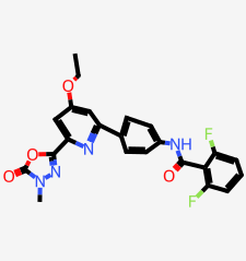 CCOc1cc(-c2ccc(NC(=O)c3c(F)cccc3F)cc2)nc(-c2nn(C)c(=O)o2)c1